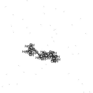 CC1OC(O[C@H]2C(CO)O[C@H](O[C@@H]3C(CO)O[C@@H](SCCOCCSCC4C[C@H](O)C(O)[C@@H](O[C@@H]5C(CO)O[C@H](O)C(O)[C@H]5O)O4)C(O)[C@H]3O)C(O)[C@H]2O)[C@@H](O)[C@@H](O)[C@@H]1N[C@H]1C=C(CO)[C@H](O)C(O)[C@@H]1O